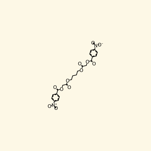 O=C(COC(=O)c1ccc([N+](=O)[O-])cc1)OCCCCOC(=O)COC(=O)c1ccc([N+](=O)[O-])cc1